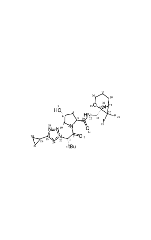 CC(C)(C)[C@@H](C(=O)N1C[C@H](O)C[C@H]1C(=O)NC[C@]12OCCC[C@H]1C2(F)F)n1cc(C2CC2)nn1